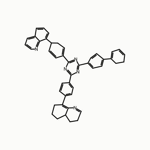 C1=CCCC(c2ccc(-c3nc(C4=CCC(c5cccc6cccnc56)C=C4)nc(-c4ccc(C5=C6N=CCCC6CCC5)cc4)n3)cc2)=C1